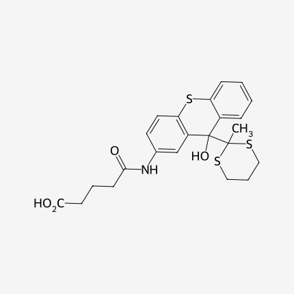 CC1(C2(O)c3ccccc3Sc3ccc(NC(=O)CCCC(=O)O)cc32)SCCCS1